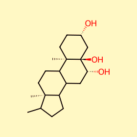 CC1CCC2C3C[C@@H](O)[C@@]4(O)C[C@@H](O)CC[C@]4(C)C3CC[C@]12C